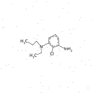 CCCN(CC)c1ccc[c]([InH2])c1Cl